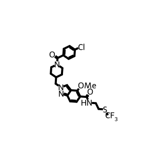 COc1c(C(=O)NCCSC(F)(F)F)ccc2nn(CC3CCN(C(=O)c4ccc(Cl)cc4)CC3)cc12